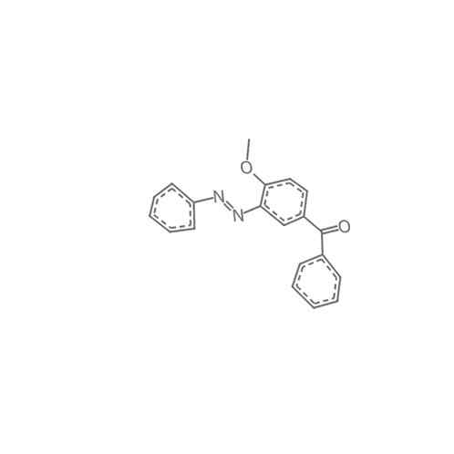 COc1ccc(C(=O)c2ccccc2)cc1N=Nc1ccccc1